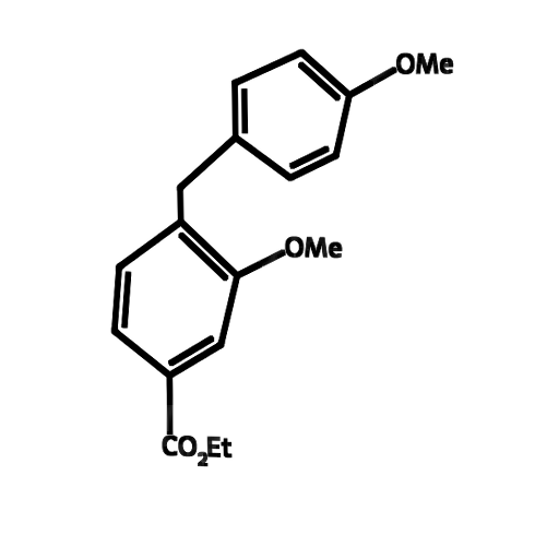 CCOC(=O)c1ccc(Cc2ccc(OC)cc2)c(OC)c1